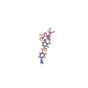 COC(=O)[C@H]1c2ccc(OCc3ccc(C#N)cc3)cc2CCN1C(=O)OC(C)(C)C